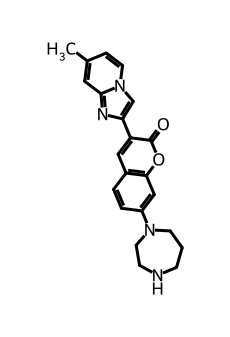 Cc1ccn2cc(-c3cc4ccc(N5CCCNCC5)cc4oc3=O)nc2c1